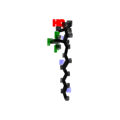 C/C=C/CC/C=C/CC/C(=C/C(C)(C)O)C(F)(F)F